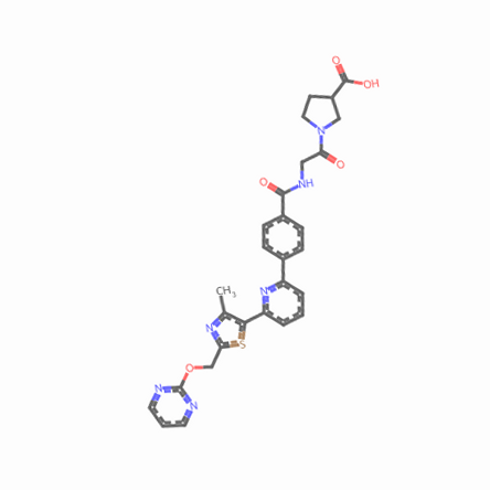 Cc1nc(COc2ncccn2)sc1-c1cccc(-c2ccc(C(=O)NCC(=O)N3CCC(C(=O)O)C3)cc2)n1